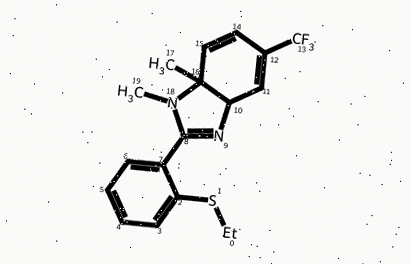 CCSc1ccccc1C1=NC2C=C(C(F)(F)F)C=CC2(C)N1C